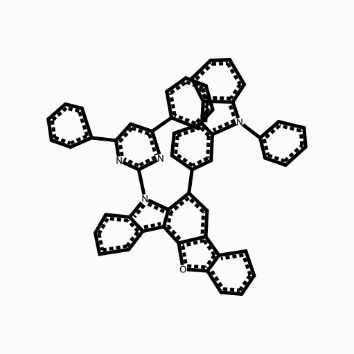 c1ccc(-c2cc(-c3ccccc3)nc(-n3c4ccccc4c4c5oc6ccccc6c5cc(-c5ccc6c7ccccc7n(-c7ccccc7)c6c5)c43)n2)cc1